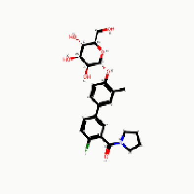 Cc1cc(-c2ccc(F)c(C(=O)N3CCCC3)c2)ccc1O[C@H]1O[C@H](CO)[C@@H](O)[C@H](O)[C@@H]1O